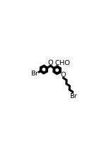 O=Cc1cc(OCCCCCCBr)ccc1C(=O)c1ccc(Br)cc1